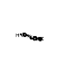 CNc1ccc(/C=N/N=C/c2ccc(N3CCOCC3)cc2)cc1